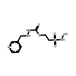 CCCNS(=O)(=O)CCSC(=S)NNCc1cccnc1